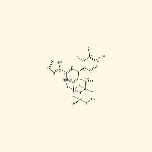 CCOC(=O)C1=C(CN2[C@@H]3COC[C@H]2CC(CC(=O)O)C3)NC(c2nccs2)=N[C@H]1c1ccc(F)c(F)c1C